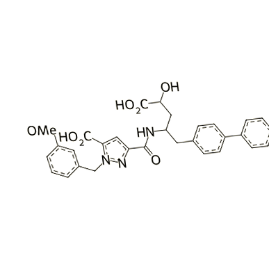 COc1cccc(Cn2nc(C(=O)NC(Cc3ccc(-c4ccccc4)cc3)CC(O)C(=O)O)cc2C(=O)O)c1